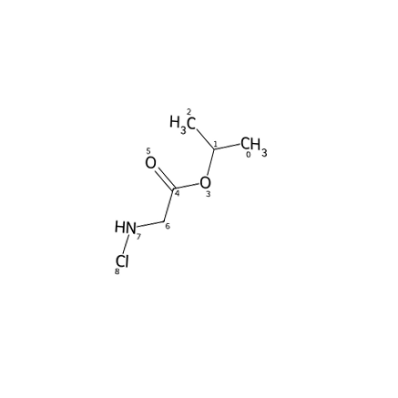 CC(C)OC(=O)CNCl